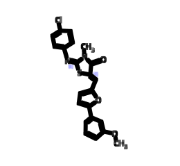 COc1cccc(-c2ccc(/C=C3\S/C(=N/c4ccc(Cl)cc4)N(C)C3=O)o2)c1